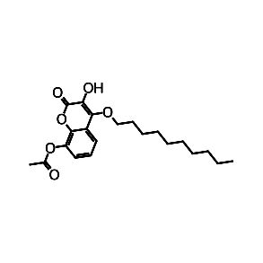 CCCCCCCCCCOc1c(O)c(=O)oc2c(OC(C)=O)cccc12